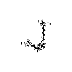 CP(=O)(O)OCCCCOCOCC(F)(F)OC(F)(F)CCCOP(=O)(O)O